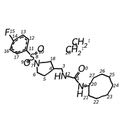 O=C(NCC1CCN(S(=O)(=O)c2ccc(F)cc2)C1)N[C]1CCCCCCC1.[CH2].[CH2]